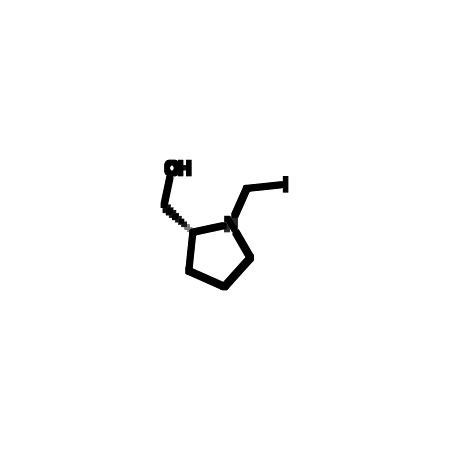 OC[C@H]1CCCN1CI